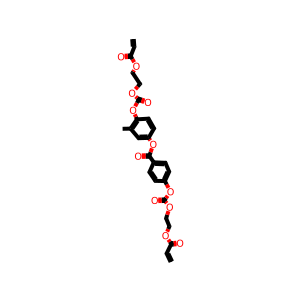 C=CC(=O)OCCOC(=O)Oc1ccc(C(=O)Oc2ccc(OC(=O)OCCOC(=O)C=C)c(C)c2)cc1